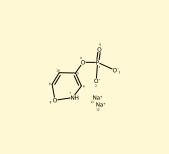 O=P([O-])([O-])OC1=CNOC=C1.[Na+].[Na+]